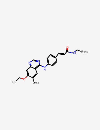 CCCC(C)CNC(=O)C=Cc1ccc(Nc2ncnc3cc(OCC(F)(F)F)c(OC)cc23)cc1